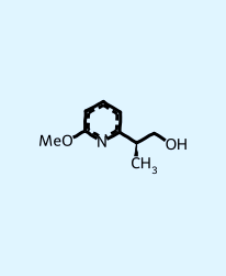 COc1cccc([C@H](C)CO)n1